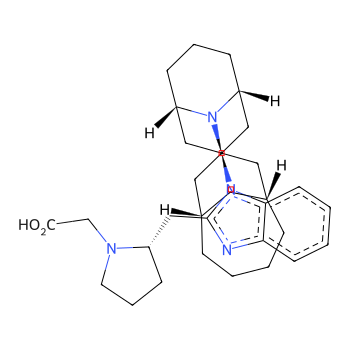 O=C(O)CN1CCC[C@H]1Cc1nc2ccccc2n1[C@@H]1C[C@H]2CCC[C@@H](C1)N2[C@H]1C[C@@H]2CCCC[C@@H](C2)C1